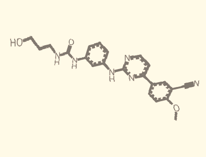 COc1ccc(-c2ccnc(Nc3cccc(NC(=O)NCCCO)c3)n2)cc1C#N